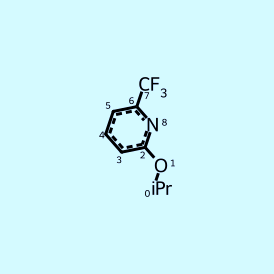 CC(C)Oc1cccc(C(F)(F)F)n1